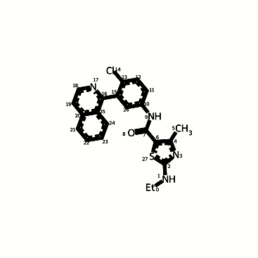 CCNc1nc(C)c(C(=O)Nc2ccc(Cl)c(-c3nccc4ccccc34)c2)s1